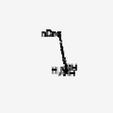 CCCCCCCCCCCCCCCCCCCCCCCCCCCCCC[C@@H](O)[C@@H](N)CO